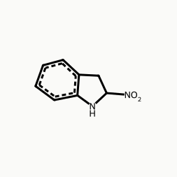 O=[N+]([O-])C1Cc2ccccc2N1